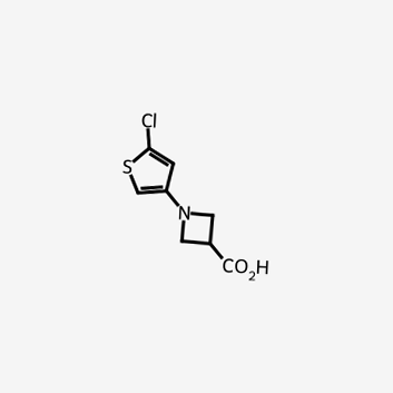 O=C(O)C1CN(c2csc(Cl)c2)C1